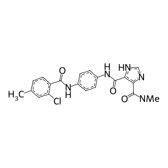 CNC(=O)c1nc[nH]c1C(=O)Nc1ccc(NC(=O)c2ccc(C)cc2Cl)cc1